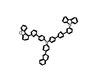 c1cc(-c2ccc(N(c3ccc(-c4ccc(-c5cccc(-n6c7ccccc7c7ccccc76)c5)cc4)cc3)c3ccc(-c4ccc5ccccc5c4)cc3)cc2)cc(-c2cccc3oc4ccccc4c23)c1